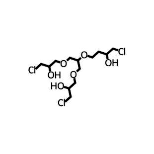 OC(CCl)CCOC(COCC(O)CCl)COCC(O)CCl